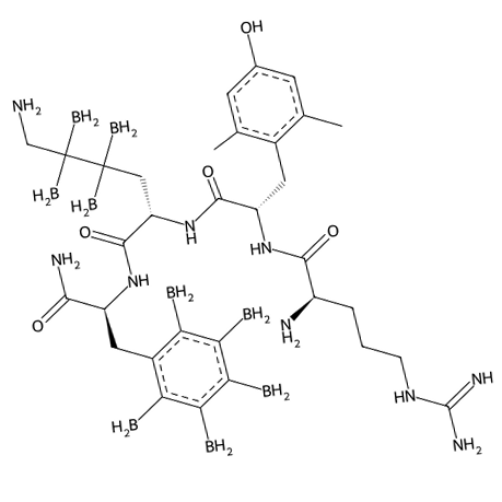 Bc1c(B)c(B)c(C[C@H](NC(=O)[C@H](CC(B)(B)C(B)(B)CN)NC(=O)[C@H](Cc2c(C)cc(O)cc2C)NC(=O)[C@H](N)CCCNC(=N)N)C(N)=O)c(B)c1B